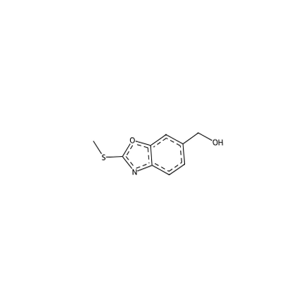 CSc1nc2ccc(CO)cc2o1